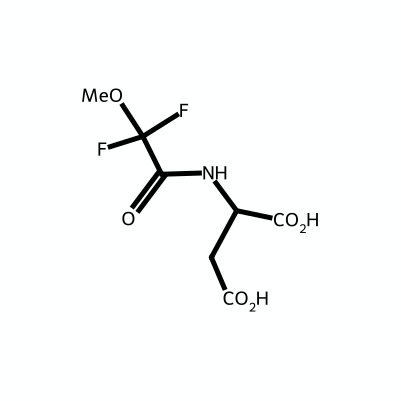 COC(F)(F)C(=O)NC(CC(=O)O)C(=O)O